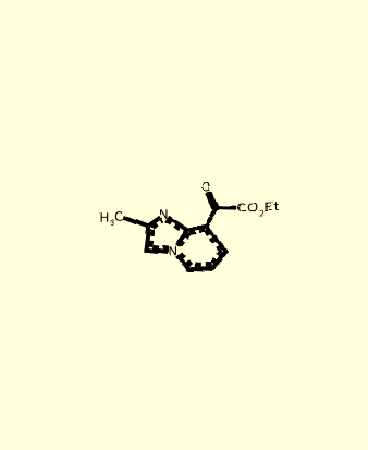 CCOC(=O)C(=O)c1cccn2cc(C)nc12